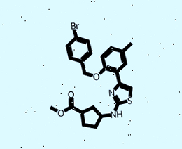 COC(=O)C1CCC(Nc2nc(-c3cc(C)ccc3OCc3ccc(Br)cc3)cs2)C1